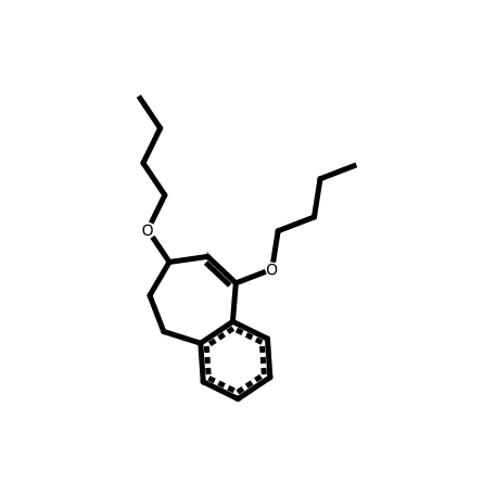 CCCCOC1=[C]C(OCCCC)CCc2ccccc21